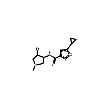 CCC1CN(C)CC1NC(=O)c1cc(C2CC2)on1